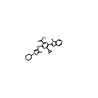 Cc1nn(C2CCOCC2)cc1Nc1nc(C2CC2)c(-c2nc3ccncc3n2C)nc1C(N)=O